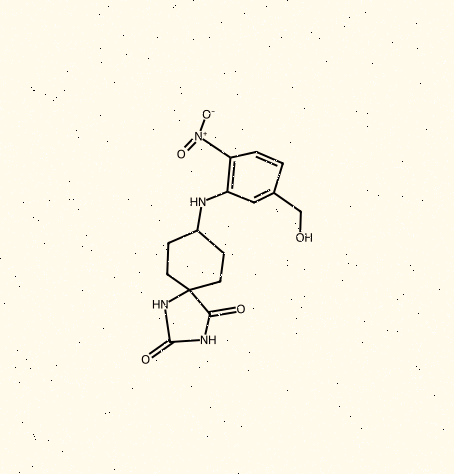 O=C1NC(=O)C2(CCC(Nc3cc(CO)ccc3[N+](=O)[O-])CC2)N1